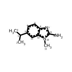 CC(C)c1ccc2nc(N)n(C)c2c1